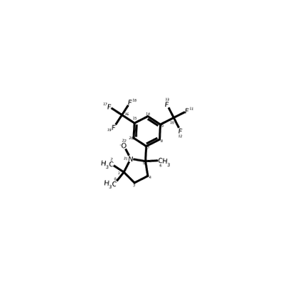 CC1(C)CCC(C)(c2cc(C(F)(F)F)cc(C(F)(F)F)c2)N1[O]